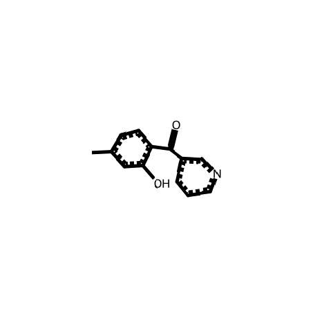 Cc1ccc(C(=O)c2cccnc2)c(O)c1